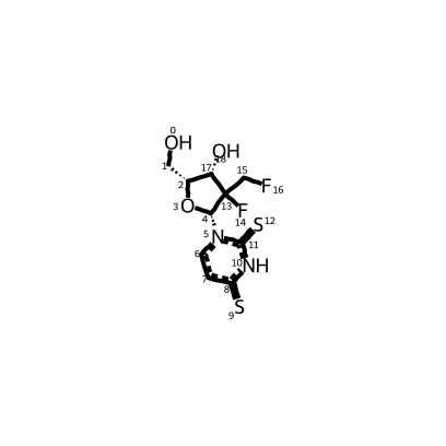 OC[C@H]1O[C@@H](n2ccc(=S)[nH]c2=S)C(F)(CF)[C@H]1O